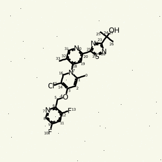 CC1=CC(OCc2ncc(F)cc2F)=C(Cl)CN1c1cc(-c2nc(C(C)(C)O)ns2)ncc1C